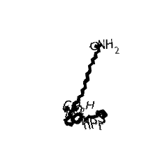 CCCN(CCc1cccs1)[C@H]1CCc2c(cccc2N(CC(=O)O)C(=O)CCCCCCCCCCCCCCCCC(N)=O)C1